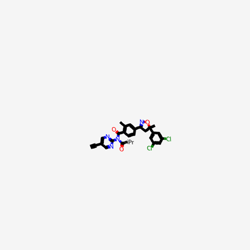 C#Cc1cnc(N(C(=O)c2ccc(C3=NOC(C)(c4cc(Cl)cc(Cl)c4)C3)cc2C)C(=O)C(C)C)nc1